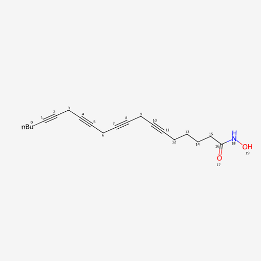 CCCCC#CCC#CCC#CCC#CCCCCC(=O)NO